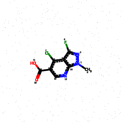 Cn1nc(F)c2c(Cl)c(C(=O)O)cnc21